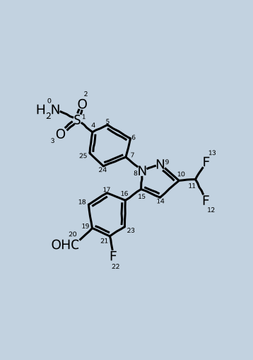 NS(=O)(=O)c1ccc(-n2nc(C(F)F)cc2-c2ccc(C=O)c(F)c2)cc1